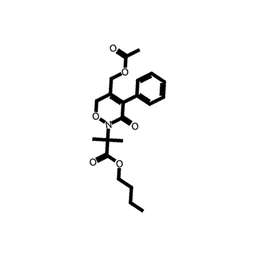 CCCCOC(=O)C(C)(C)N1OCC(COC(C)=O)=C(c2ccccc2)C1=O